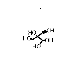 C#C[C@@](O)(CO)C(O)O